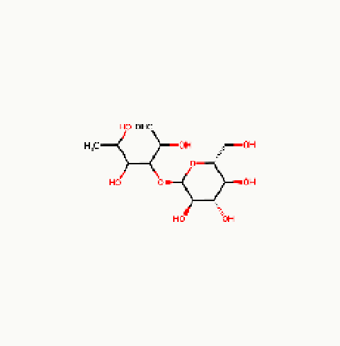 CC(O)C(O)C(O[C@H]1O[C@H](CO)[C@@H](O)[C@H](O)[C@H]1O)C(O)C=O